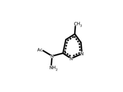 CC(=O)N(N)c1cc(C)cnn1